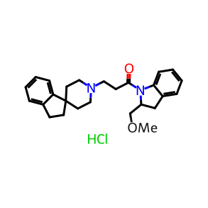 COCC1Cc2ccccc2N1C(=O)CCN1CCC2(CCc3ccccc32)CC1.Cl